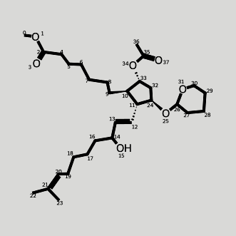 COC(=O)CCCCCC[C@@H]1[C@@H](/C=C/C(O)CCCCC=C(C)C)[C@H](OC2CCCCO2)C[C@H]1OC(C)=O